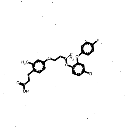 Cc1cc(OCC[C@H](C)Oc2ccc(Cl)cc2Oc2ccc(F)cc2)ccc1CCC(=O)O